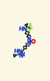 O=C(N1CC2(CC(NC3(C(F)(F)F)CC3)C2)C1)N1CC2(CC(c3nnc(C4CC4)[nH]3)C2)C1